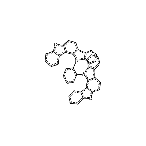 c1ccc(-n2c3ccccc3c3ccc4oc5ccccc5c4c32)c(-n2c3ccccc3c3ccc4oc5ccccc5c4c32)c1